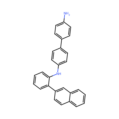 Nc1ccc(-c2ccc(Nc3ccccc3-c3ccc4ccccc4c3)cc2)cc1